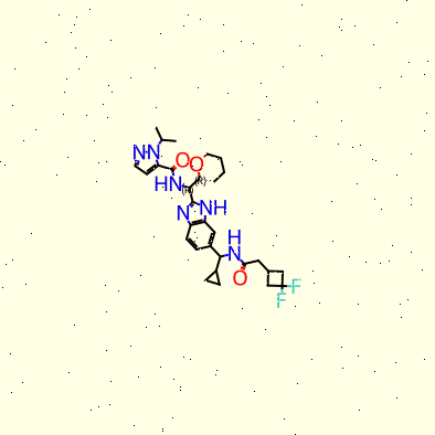 CC(C)n1nccc1C(=O)N[C@H](c1nc2ccc(C(NC(=O)CC3CC(F)(F)C3)C3CC3)cc2[nH]1)[C@H]1CCCCO1